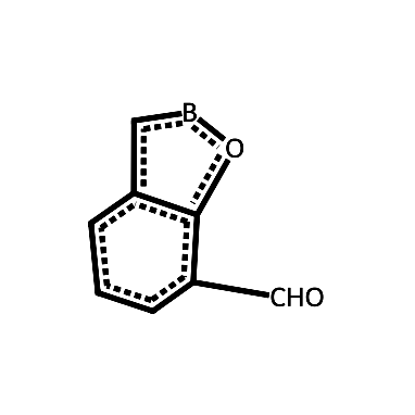 O=Cc1cccc2cboc12